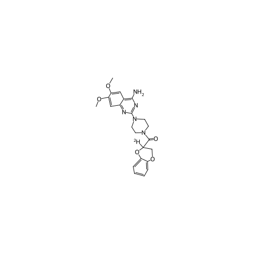 [2H]C1(C(=O)N2CCN(c3nc(N)c4cc(OC)c(OC)cc4n3)CC2)COc2ccccc2O1